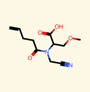 C=CCCC(=O)N(CC#N)C(COC)C(=O)O